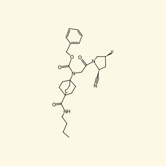 CCCCNC(=O)C12CCC(N(CC(=O)N3C[C@@H](F)C[C@H]3C#N)C(=O)OCc3ccccc3)(CC1)CC2